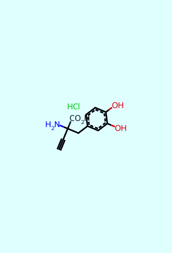 C#CC(N)(Cc1ccc(O)c(O)c1)C(=O)O.Cl